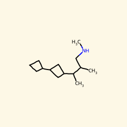 CNCC(C)C(C)C1CC(C2CCC2)C1